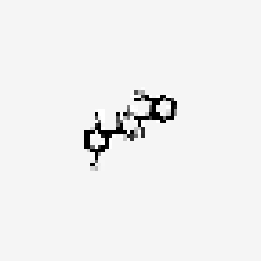 Clc1ccc(Cl)c(-c2nnc(-c3ccccc3Cl)nn2)c1